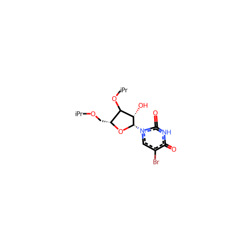 CC(C)OC[C@H]1O[C@@H](n2cc(Br)c(=O)[nH]c2=O)[C@@H](O)C1OC(C)C